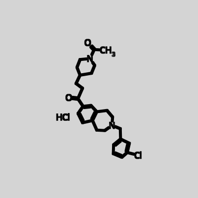 CC(=O)N1CCC(CCC(=O)c2ccc3c(c2)CCN(Cc2cccc(Cl)c2)CC3)CC1.Cl